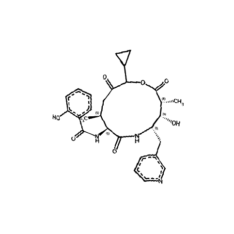 C[C@H]1CC(=O)C(C2CC2)OC(=O)[C@H](C)[C@H](O)[C@H](Cc2cccnc2)NC(=O)[C@H]1NC(=O)c1ccccc1O